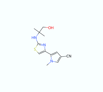 Cn1cc(C#N)cc1-c1csc(NC(C)(C)CO)n1